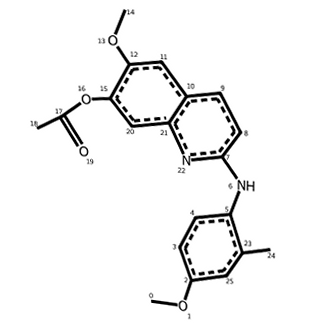 COc1ccc(Nc2ccc3cc(OC)c(OC(C)=O)cc3n2)c(C)c1